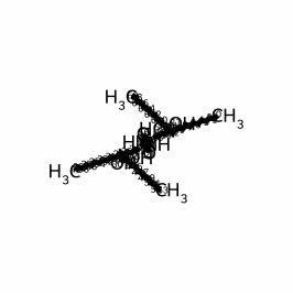 CCCCCCCCCC[C@@H](O)CN(CCCC[C@@H]1NC(=O)[C@H](CCCCN(C[C@H](O)CCCCCCCCCC)C[C@H](O)CCCCCCCCCC)NC1=O)C[C@H](O)CCCCCCCCCC